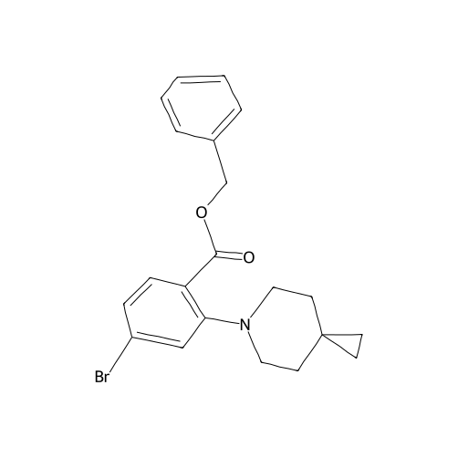 O=C(OCc1ccccc1)c1ccc(Br)cc1N1CCC2(CC1)CC2